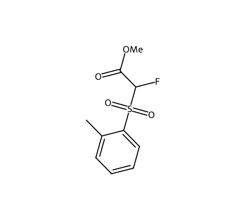 COC(=O)C(F)S(=O)(=O)c1ccccc1C